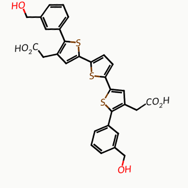 O=C(O)Cc1cc(-c2ccc(-c3cc(CC(=O)O)c(-c4cccc(CO)c4)s3)s2)sc1-c1cccc(CO)c1